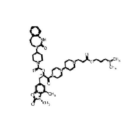 Cc1cc(C[C@@H](OC(=O)N2CCC(N3CCc4ccccc4NC3=O)CC2)C(=O)N2CCN(C3CCN(CCC(=O)OCCCN(C)C)CC3)CC2)cc2oc(=O)n(C)c12